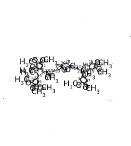 COc1ccc(CC2c3cc(OC)c(OC)cc3CC[N+]2(C)CCCOC(=O)/C=C\C(=O)OCCCN(C)CCc2cc(OC)c(OC)c(OC)c2C(C)Cc2cc(OC)c(OC)c(OC)c2)cc1OC